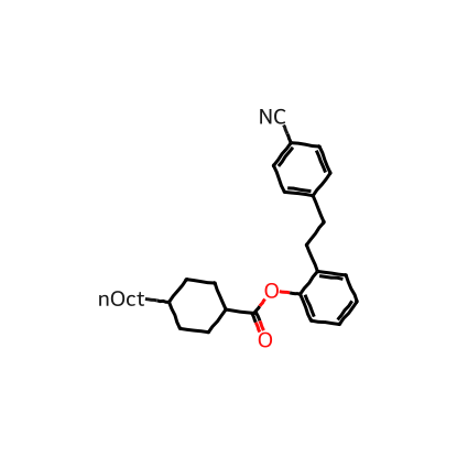 CCCCCCCCC1CCC(C(=O)Oc2ccccc2CCc2ccc(C#N)cc2)CC1